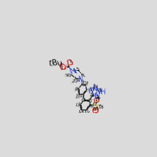 CC(C)(C)OC(=O)N1CCN(c2ccc(-c3cccc(S(C)(=O)=O)c3-c3nn[nH]n3)cc2)CC1